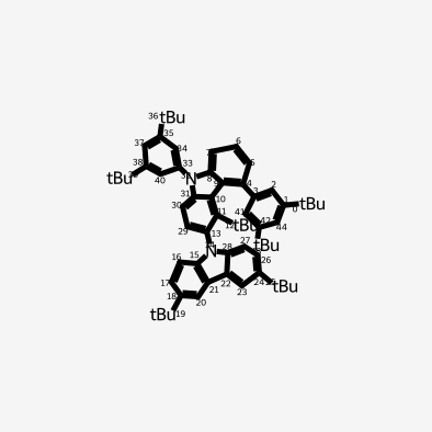 CC(C)(C)c1cc(-c2cccc3c2c2c(C(C)(C)C)c(-n4c5ccc(C(C)(C)C)cc5c5cc(C(C)(C)C)ccc54)ccc2n3-c2cc(C(C)(C)C)cc(C(C)(C)C)c2)cc(C(C)(C)C)c1